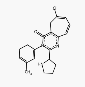 CC1=CCCC(n2c(C3CCCN3)nc3c(c2=O)CC(Cl)=CC=C3)=C1